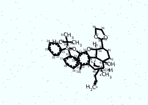 C=CC[N+]1(C)CC[C@]23c4c5c(I)cc(O[Si](c6ccccc6)(c6ccccc6)C(C)(C)C)c4O[C@H]2C(C2OCCO2)CCC3(O)[C@H]1C5